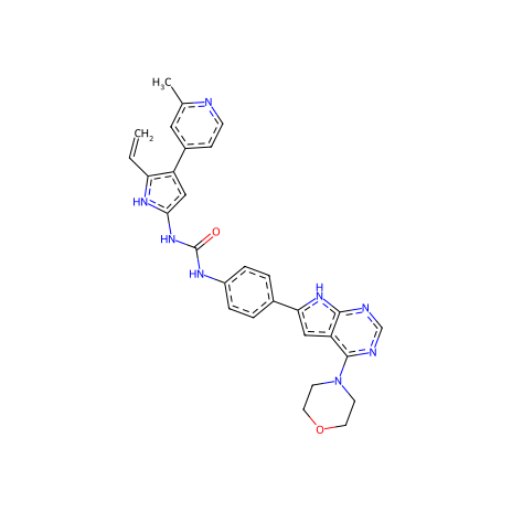 C=Cc1[nH]c(NC(=O)Nc2ccc(-c3cc4c(N5CCOCC5)ncnc4[nH]3)cc2)cc1-c1ccnc(C)c1